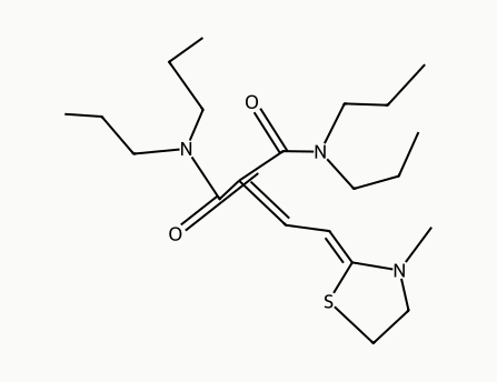 CCCN(CCC)C(=O)C(=C/C=C1\SCCN1C)C(=O)N(CCC)CCC